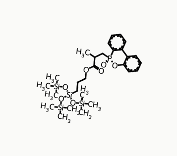 CC(CP1(=O)Oc2ccccc2-c2ccccc21)C(=O)OCCC[Si](O[Si](C)(C)C)(O[Si](C)(C)C)O[Si](C)(C)C